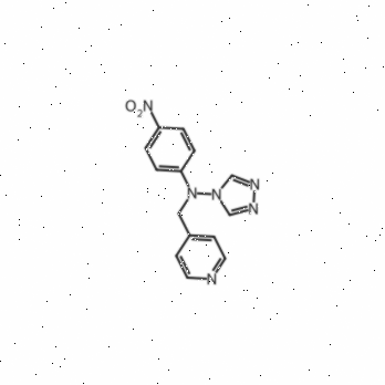 O=[N+]([O-])c1ccc(N(Cc2ccncc2)n2cnnc2)cc1